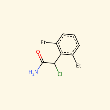 CCc1cccc(CC)c1C(Cl)C(N)=O